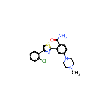 CN1CCN(c2ccc(C(N)=O)c(-c3nc(-c4ccccc4Cl)cs3)c2)CC1